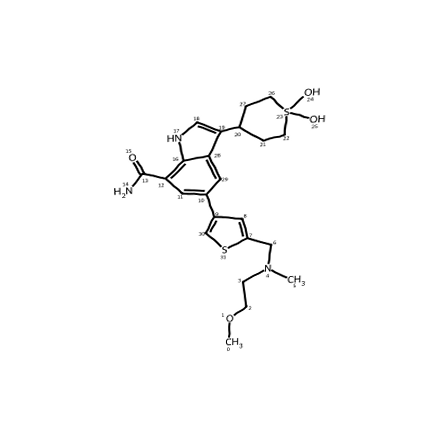 COCCN(C)Cc1cc(-c2cc(C(N)=O)c3[nH]cc(C4CCS(O)(O)CC4)c3c2)cs1